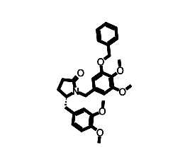 COc1ccc(C[C@@H]2CCC(=O)N2Cc2cc(OC)c(OC)c(OCc3ccccc3)c2)cc1OC